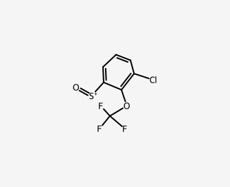 O=[S+]c1cccc(Cl)c1OC(F)(F)F